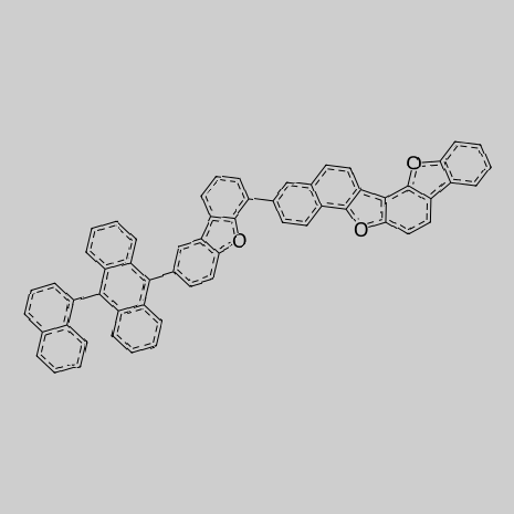 c1ccc2c(-c3c4ccccc4c(-c4ccc5oc6c(-c7ccc8c(ccc9c8oc8ccc%10c%11ccccc%11oc%10c89)c7)cccc6c5c4)c4ccccc34)cccc2c1